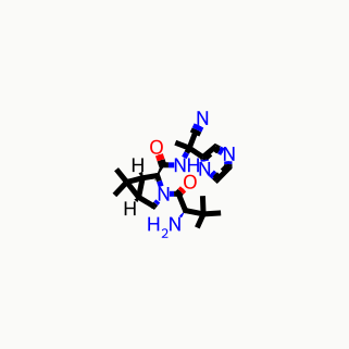 CC(C#N)(NC(=O)[C@@H]1[C@@H]2[C@H](CN1C(=O)[C@@H](N)C(C)(C)C)C2(C)C)c1cnccn1